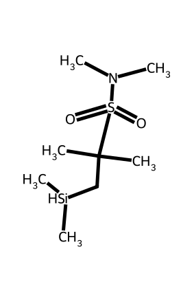 CN(C)S(=O)(=O)C(C)(C)C[SiH](C)C